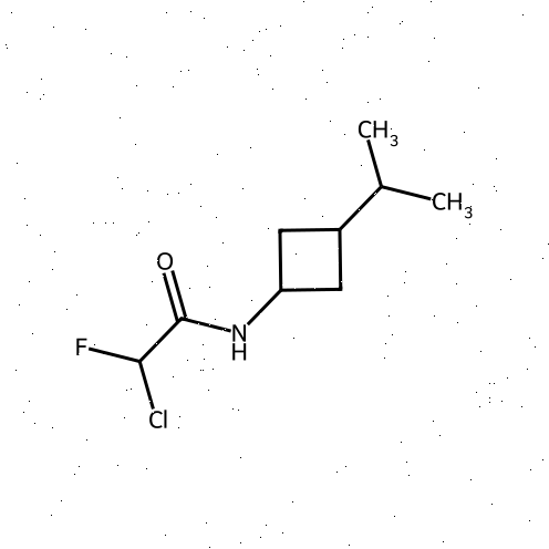 CC(C)C1CC(NC(=O)C(F)Cl)C1